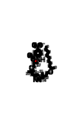 CCCCCCCCC(C)OCCC(C)(C)n1cc(CC(C)(C)OCCC(C)(C)Nc2ccc([N+](=O)[O-])cc2[N+](=O)[O-])nn1